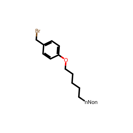 CCCCCCCCCCCCCCOc1ccc(CBr)cc1